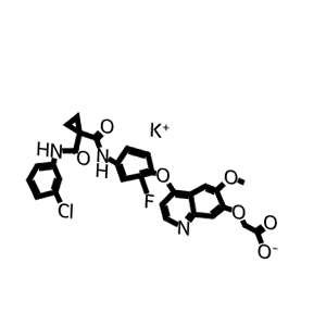 COc1cc2c(Oc3ccc(NC(=O)C4(C(=O)Nc5cccc(Cl)c5)CC4)cc3F)ccnc2cc1OCC(=O)[O-].[K+]